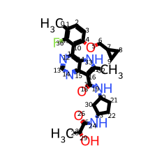 Cc1ccc(OCC2CC2)c(-c2ncnc3c(C(=O)NC4CCC(NC(=O)[C@H](C)O)C4)c(C)[nH]c23)c1F